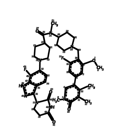 COc1cc(-c2cn(C)c(=O)c(C)c2C)cc(F)c1CN1CCC(N(C)C(=O)C2CCN(c3ccc4c(N5CCC(=O)NC5=O)n[nH]c4c3F)CC2)CC1